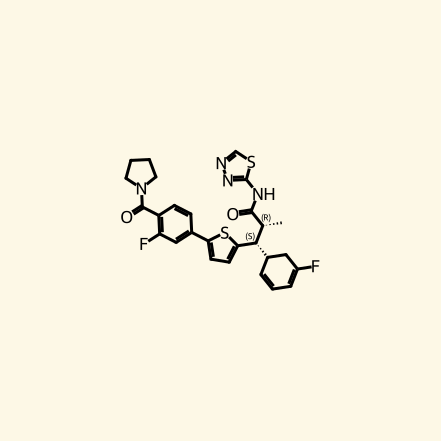 C[C@@H](C(=O)Nc1nncs1)[C@@H](c1ccc(-c2ccc(C(=O)N3CCCC3)c(F)c2)s1)C1C=CC=C(F)C1